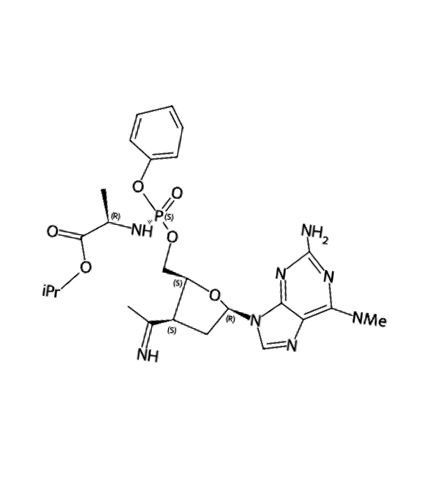 CNc1nc(N)nc2c1ncn2[C@H]1C[C@@H](C(C)=N)[C@@H](CO[P@@](=O)(N[C@H](C)C(=O)OC(C)C)Oc2ccccc2)O1